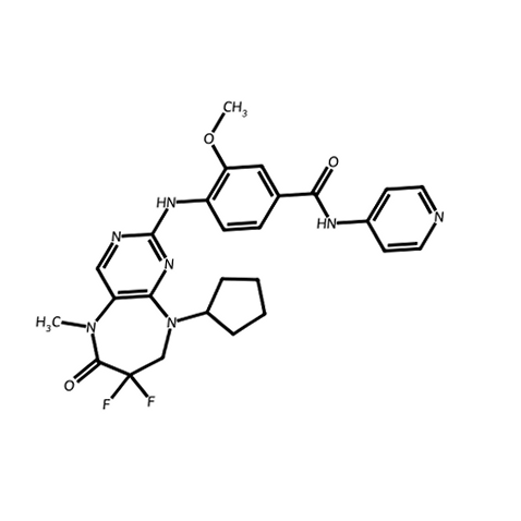 COc1cc(C(=O)Nc2ccncc2)ccc1Nc1ncc2c(n1)N(C1CCCC1)CC(F)(F)C(=O)N2C